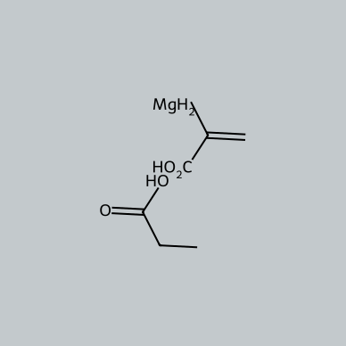 C=C(C)C(=O)O.CCC(=O)O.[MgH2]